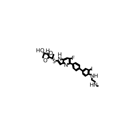 CNCCNc1ccc(-c2ccc(-c3nc4cc(S[C@@H]5CO[C@H]6C5OC[C@H]6O)[nH]c4cc3F)cc2)cc1I